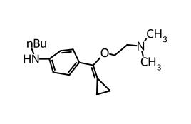 CCCCNc1ccc(C(OCCN(C)C)=C2CC2)cc1